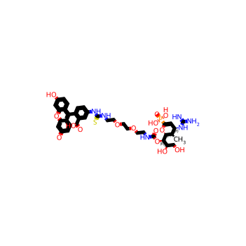 C[C@H]1[C@H]([C@H](OC(=O)NCCOCCOCCNC(=S)Nc2ccc(-c3c4ccc(=O)cc-4oc4cc(O)ccc34)c(C(=O)O)c2)[C@H](O)CO)OC(P(=O)(O)O)=C[C@@H]1NC(=N)N